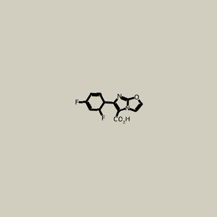 O=C(O)c1c(C2C=CC(F)=CC2F)nc2occn12